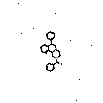 O=C(c1ccccc1)N1CCN2CC(c3ccccc3)c3ccccc3C2C1